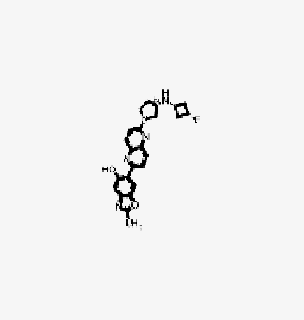 Cc1nc2cc(O)c(-c3ccc4nc(N5CC[C@H](N[C@H]6C[C@@H](F)C6)C5)ccc4n3)cc2o1